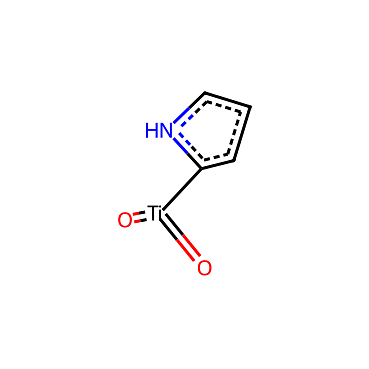 [O]=[Ti](=[O])[c]1ccc[nH]1